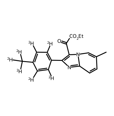 [2H]c1c([2H])c(C([2H])([2H])[2H])c([2H])c([2H])c1-c1nc2ccc(C)cn2c1C(=O)C(=O)OCC